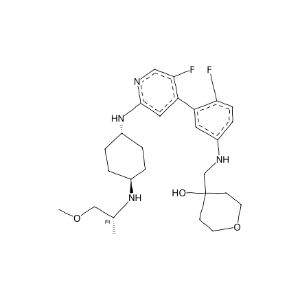 COC[C@@H](C)N[C@H]1CC[C@H](Nc2cc(-c3cc(NCC4(O)CCOCC4)ccc3F)c(F)cn2)CC1